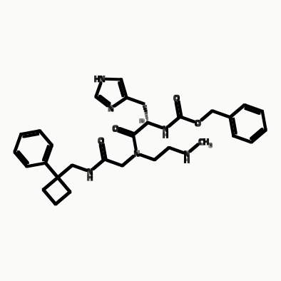 CNCCN(CC(=O)NCC1(c2ccccc2)CCC1)C(=O)[C@H](Cc1c[nH]cn1)NC(=O)OCc1ccccc1